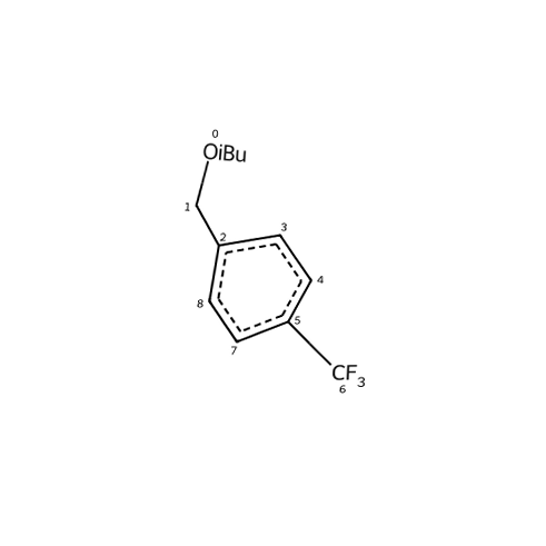 CC(C)COCc1ccc(C(F)(F)F)cc1